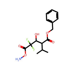 CC(C)C(C(=O)OCc1ccccc1)C(O)C(F)(F)C(=O)ON